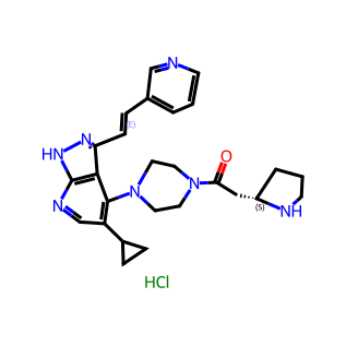 Cl.O=C(C[C@@H]1CCCN1)N1CCN(c2c(C3CC3)cnc3[nH]nc(/C=C/c4cccnc4)c23)CC1